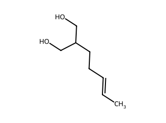 CC=CCCC(CO)CO